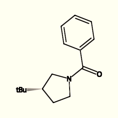 CC(C)(C)[C@H]1CCN(C(=O)c2ccccc2)C1